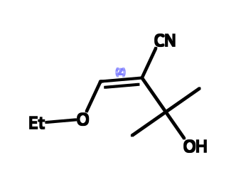 CCO/C=C(/C#N)C(C)(C)O